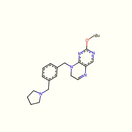 CCCCOc1ncc2c(n1)N(Cc1cccc(CN3CCCC3)c1)CC=N2